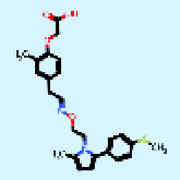 CSc1ccc(-c2ccc(C)n2CCON=CCc2ccc(OCC(=O)O)c(C)c2)cc1